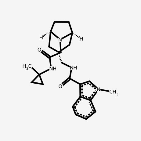 Cn1cc(C(=O)NC[C@@H]2C[C@H]3CC[C@@H](C2)N3CC(=O)NC2(C)CC2)c2ccccc21